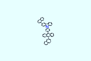 C1=C(c2c3ccccc3c(-c3ccc(-n4c5ccccc5c5cc(-c6cccc7ccccc67)ccc54)cc3)c3ccccc23)C=c2ccccc2=CC1